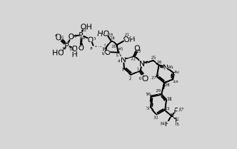 O=c1ccn([C@@H]2O[C@H](COP(=O)(O)OP(=O)(O)O)C(O)C2O)c(=O)n1Cc1cc(-c2cccc(C(F)(F)F)c2)ccn1